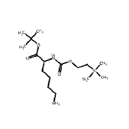 CC(C)(C)OC(=O)[C@H](CCCCN)NC(=O)OCC[Si](C)(C)C